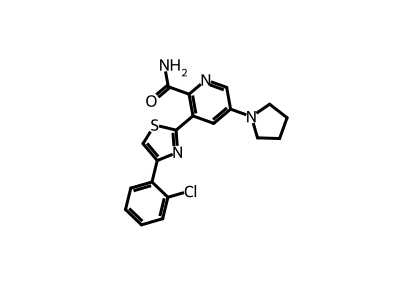 NC(=O)c1ncc(N2CCCC2)cc1-c1nc(-c2ccccc2Cl)cs1